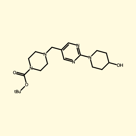 CC(C)(C)OC(=O)N1CCN(Cc2cnc(N3CCC(O)CC3)nc2)CC1